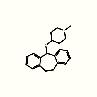 CN1CCC(OC2c3ccccc3CCc3ccccc32)CC1